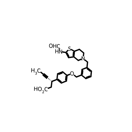 CC#C[C@@H](CC(=O)O)c1ccc(OCc2cccc(CN3CCc4sc(NC=O)cc4C3)c2)cc1